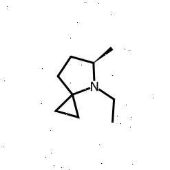 CCN1[C@H](C)CCC12CC2